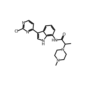 CC(C(=O)Nc1cccc2c(-c3ccnc(Cl)n3)c[nH]c12)N1CCN(C)CC1